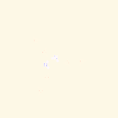 C=COC(CCCC)COc1cc(OCC(CCCC)OC=C)nc(OCC(CCCC)OC=C)n1